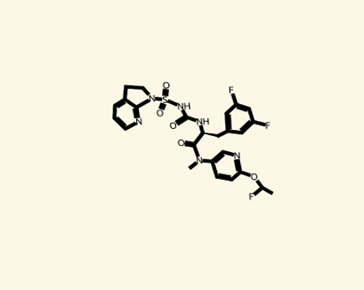 CC(F)Oc1ccc(N(C)C(=O)[C@H](Cc2cc(F)cc(F)c2)NC(=O)NS(=O)(=O)N2CCc3cccnc32)cn1